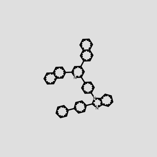 c1ccc(-c2ccc(-c3nc4ccccc4n3-c3ccc(-c4cc(-c5ccc6ccccc6c5)cc(-c5ccc6ccccc6c5)n4)cc3)cc2)cc1